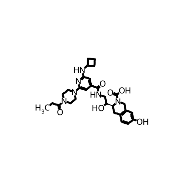 CCC(=O)N1CCN(c2cc(C(=O)NCC(O)[C@@H]3Cc4ccc(O)cc4CN3C(=O)O)cc(NC3CCC3)n2)CC1